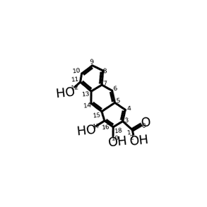 O=C(O)c1cc2cc3cccc(O)c3cc2c(O)c1O